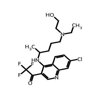 CCN(CCO)CCCC(C)Nc1c(C(=O)C(F)(F)F)cnc2cc(Cl)ccc12